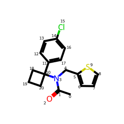 CC(=O)N(Cc1cccs1)C1(c2ccc(Cl)cc2)CCC1